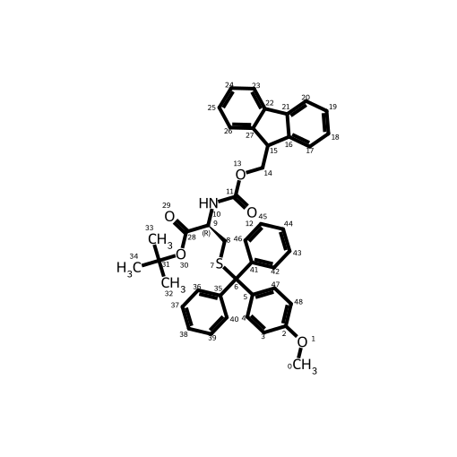 COc1ccc(C(SC[C@H](NC(=O)OCC2c3ccccc3-c3ccccc32)C(=O)OC(C)(C)C)(c2ccccc2)c2ccccc2)cc1